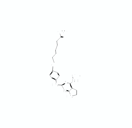 CCCC(C)Nc1nc(Nc2ccc(OCCCCCCC(=O)OC)cc2)nc2c1CCN2